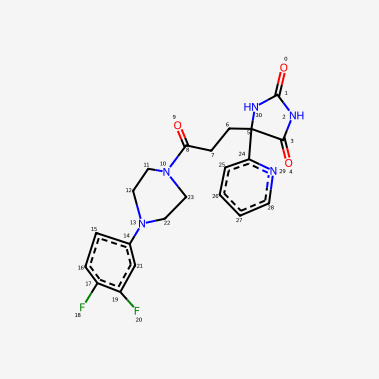 O=C1NC(=O)C(CCC(=O)N2CCN(c3ccc(F)c(F)c3)CC2)(c2ccccn2)N1